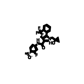 Cc1c(C(=O)Nc2ccc([S+](C)[O-])c(F)c2)cn(CC2(O)CC2)c1-c1ccccc1C(F)(F)F